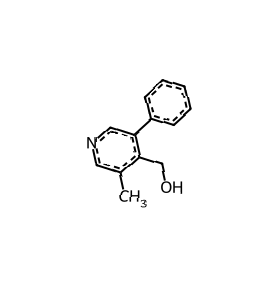 Cc1cncc(-c2ccccc2)c1CO